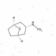 CN[C@@H]1C[C@H]2CC[C@@H](C1)O2